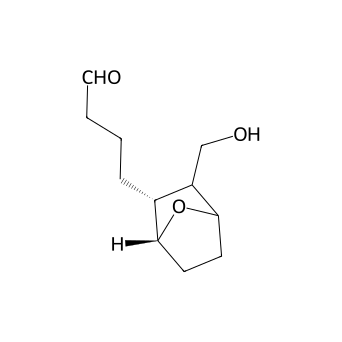 O=CCCC[C@@H]1C(CO)C2CC[C@H]1O2